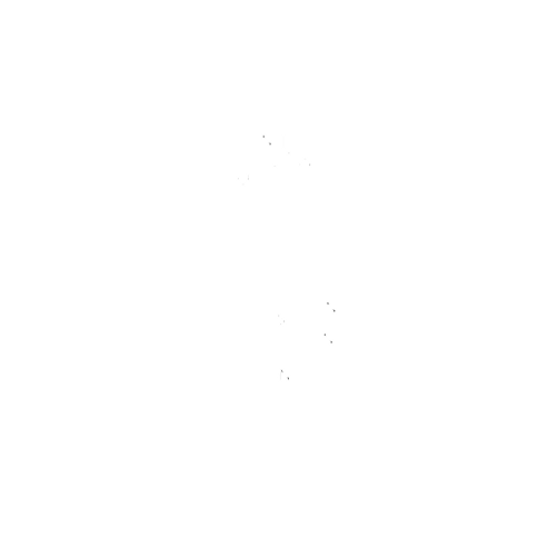 Cn1nc(-c2ccc(S(N)(=O)=O)cc2)sc1=NC1CCCCC1